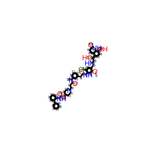 COc1cc(NC(=O)Cc2cccc(N(C)C(=O)CCN3CCC(OC(=O)Nc4ccccc4-c4ccccc4)CC3)c2)c(Cl)cc1CNC[C@H](O)c1ccc(O)c2[nH]c(=O)ccc12